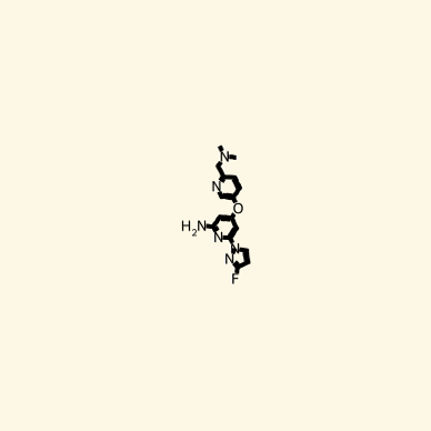 CN(C)Cc1ccc(Oc2cc(N)nc(-n3ccc(F)n3)c2)cn1